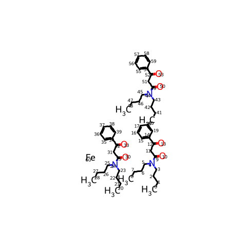 CCCCN(CCCC)C(=O)CC(=O)c1ccccc1.CCCCN(CCCC)C(=O)CC(=O)c1ccccc1.CCCCN(CCCC)C(=O)CC(=O)c1ccccc1.[Fe]